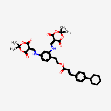 CC1(C)OC(=O)C(=CNc2ccc(CCOC(=O)/C=C/c3ccc(C4CCCCC4)cc3)c(NC=C3C(=O)OC(C)(C)OC3=O)c2)C(=O)O1